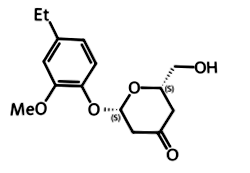 CCc1ccc(O[C@H]2CC(=O)C[C@@H](CO)O2)c(OC)c1